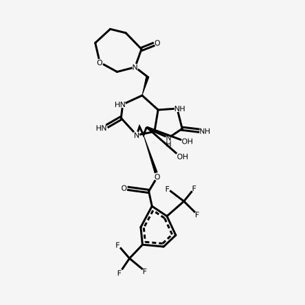 N=C1NC2[C@H](CN3COCCCC3=O)NC(=N)N3C[C@H](OC(=O)c4cc(C(F)(F)F)ccc4C(F)(F)F)C(O)(O)C23N1